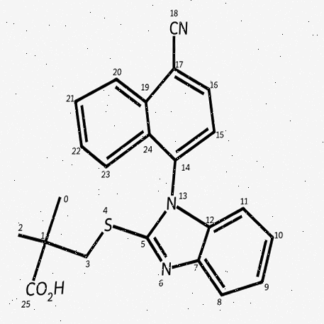 CC(C)(CSc1nc2ccccc2n1-c1ccc(C#N)c2ccccc12)C(=O)O